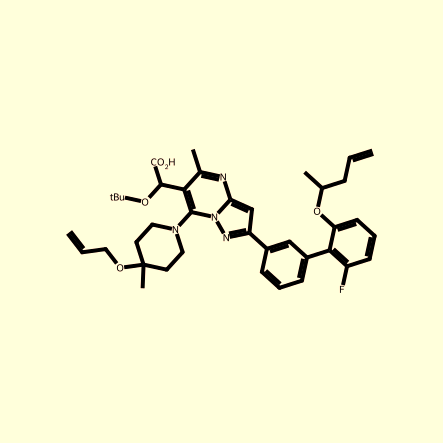 C=CCOC1(C)CCN(c2c(C(OC(C)(C)C)C(=O)O)c(C)nc3cc(-c4cccc(-c5c(F)cccc5OC(C)CC=C)c4)nn23)CC1